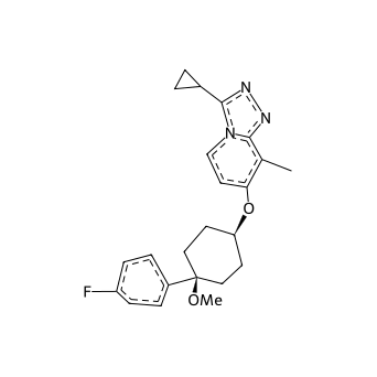 CO[C@]1(c2ccc(F)cc2)CC[C@H](Oc2ccn3c(C4CC4)nnc3c2C)CC1